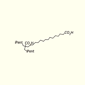 CCCC(C)CC(CCCCCCCCCCCCCCCC(=O)O)(CC(C)CCC)C(=O)O